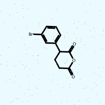 O=C1CCC(c2cccc(Br)c2)C(=O)O1